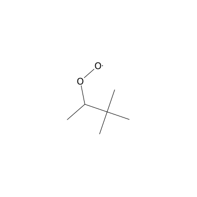 CC(O[O])C(C)(C)C